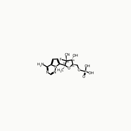 C[C@@]1(c2ccc3c(N)ncnn23)O[C@H](COP(=O)(O)O)[C@@H](O)[C@]1(F)C#N